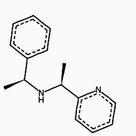 C[C@H](N[C@@H](C)c1ccccn1)c1ccccc1